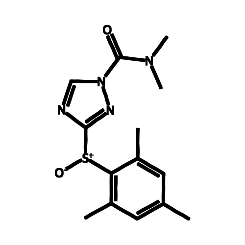 Cc1cc(C)c([S+]([O-])c2ncn(C(=O)N(C)C)n2)c(C)c1